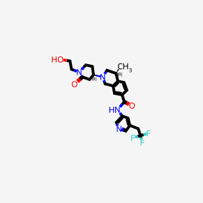 C[C@H]1CN([C@@H]2CCN(CCO)C(=O)C2)Cc2cc(C(=O)Nc3cncc(CC(F)(F)F)c3)ccc21